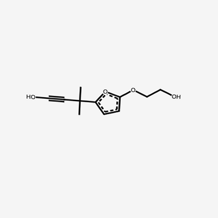 CC(C)(C#CO)c1ccc(OCCO)o1